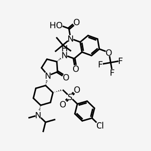 CC(C)N(C)[C@@H]1CC[C@H](N2CC[C@H](NC(=O)c3cc(OC(F)(F)F)ccc3N(C(=O)O)C(C)(C)C)C2=O)[C@H](CS(=O)(=O)c2ccc(Cl)cc2)C1